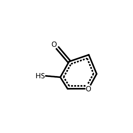 O=c1ccocc1S